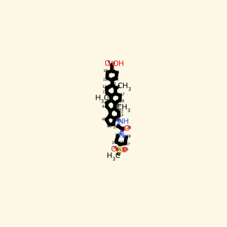 CC1C(C2=CCC(C(=O)O)CC2)=CCC2(C)C1CCC1(C)C3CCC4(NCC(=O)N5CCC(S(C)(=O)=O)CC5)CCCC4C3CCC21